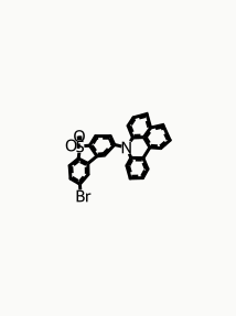 O=S1(=O)c2ccc(Br)cc2-c2cc(N3c4ccccc4-c4cccc5cccc3c45)ccc21